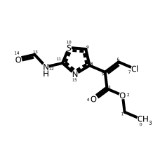 CCOC(=O)C(=CCl)c1csc(NC=O)n1